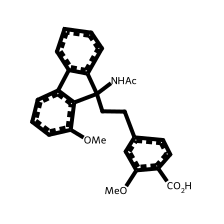 COc1cc(CCC2(NC(C)=O)c3ccccc3-c3cccc(OC)c32)ccc1C(=O)O